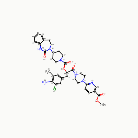 CCCCOC(=O)c1ccc(N2CCN(C(=O)[C@@H](Cc3cc(Cl)c(N)c(C(F)(F)F)c3)OC(=O)N3CCC(N4CCc5ccccc5NC4=O)CC3)CC2)nc1